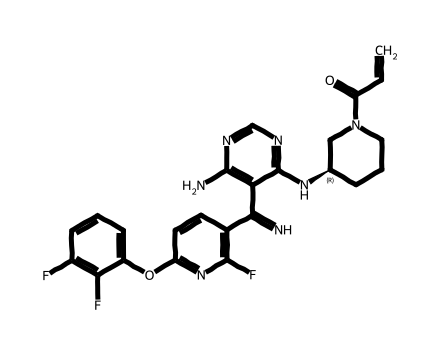 C=CC(=O)N1CCC[C@@H](Nc2ncnc(N)c2C(=N)c2ccc(Oc3cccc(F)c3F)nc2F)C1